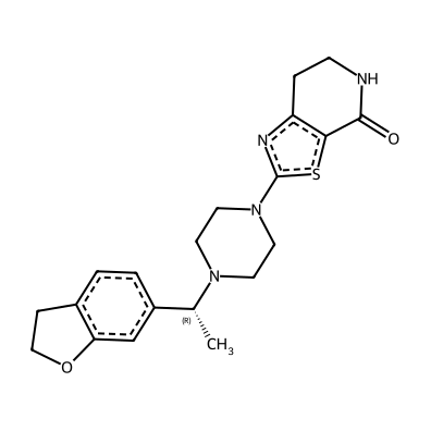 C[C@H](c1ccc2c(c1)OCC2)N1CCN(c2nc3c(s2)C(=O)NCC3)CC1